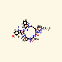 CCC(C)[C@H]1NC(=O)[C@@H](NC(=O)N[C@H](C(=O)O)[C@H](C)CC)CCCCNC(=O)[C@H](Cc2ccccc2)NC(=O)[C@H](Cc2c[nH]c3ccc(O)cc23)N(C)C(=O)[C@H](CC(C)C)NC1=O